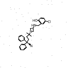 CC(C)(CCC(C#N)(c1ccccc1)c1ccccc1)N1CC(NCc2cc(Cl)ccc2O)C1